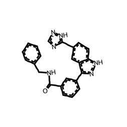 O=C(NCc1ccccc1)c1cccc(-c2n[nH]c3ccc(-c4ncn[nH]4)cc23)c1